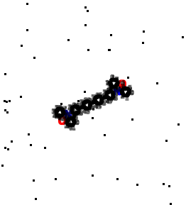 c1ccc2c(c1)Oc1cccc3c4cc(-c5ccc(-c6ccc(-c7ccc8c(c7)c7cccc9c7n8-c7ccccc7O9)cc6)cc5)ccc4n-2c13